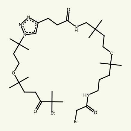 CCC(C)(C)C(=O)CCC(C)(C)OCCC(C)(C)n1cc(CCC(=O)NCC(C)(C)CCOC(C)(C)CCCNC(=O)CBr)nn1